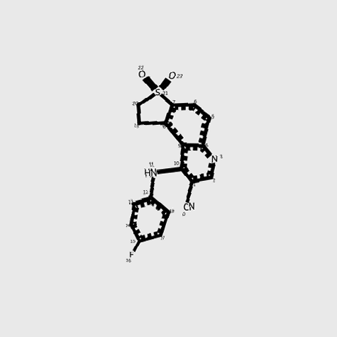 N#Cc1cnc2ccc3c(c2c1Nc1ccc(F)cc1)CCS3(=O)=O